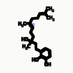 CC(C)=CCC/C(C)=C/CCC(C)(O)CCc1cccc(O)c1O